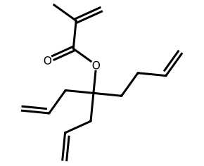 C=CCCC(CC=C)(CC=C)OC(=O)C(=C)C